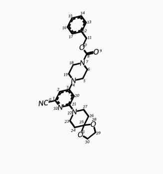 N#Cc1cc(N2CCN(C(=O)OCc3ccccc3)CC2)cc(N2CCC3(CC2)OCCO3)n1